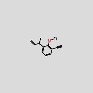 C#Cc1cccc([C](C)C=C)c1OCC